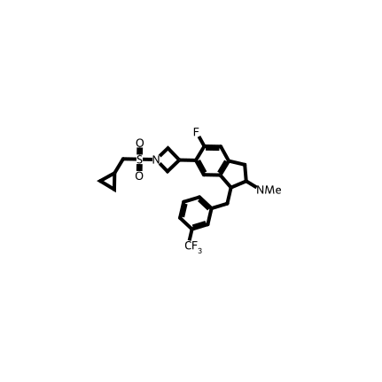 CNC1Cc2cc(F)c(C3CN(S(=O)(=O)CC4CC4)C3)cc2C1Cc1cccc(C(F)(F)F)c1